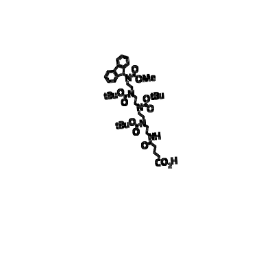 COC(=O)N(CCN(CCN(CCN(CCNC(=O)CCCC(=O)O)C(=O)OC(C)(C)C)C(=O)OC(C)(C)C)C(=O)OC(C)(C)C)C1c2ccccc2-c2ccccc21